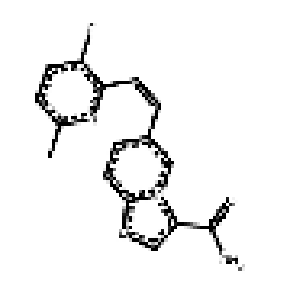 Cc1ccc(F)c(/C=C\c2ccc3ncc(C(N)=O)n3c2)n1